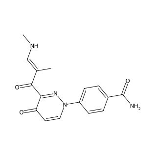 CN/C=C(\C)C(=O)c1nn(-c2ccc(C(N)=O)cc2)ccc1=O